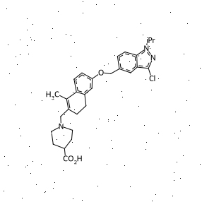 CC1=C(CN2CCC(C(=O)O)CC2)CCc2cc(OCc3ccc4c(c3)c(Cl)nn4C(C)C)ccc21